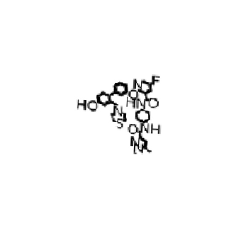 Cc1cc(C(=O)N[C@H]2CC[C@H](NC(=O)c3cc(F)cnc3Oc3cccc(-c4ccc(O)cc4CN4CCSCC4)c3)CC2)nn1C